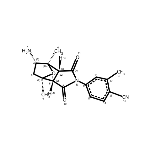 C[C@]12O[C@](C)(C[C@@H]1N)[C@H]1C(=O)N(c3ccc(C#N)c(C(F)(F)F)c3)C(=O)[C@H]12